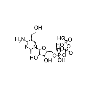 C=C1N=C(N)C(CCO)=CN1C1OC(COP(=O)(O)OP(=O)(O)OP(=O)(O)O)C(O)C1O